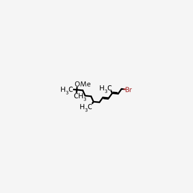 COC(C)(C)CCCC(C)C/C=C/C(C)=C/CBr